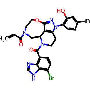 C=CC(=O)N1CCOc2nn(-c3ccc(C(C)C)cc3O)c3c2C(C1)N(C(=O)c1ccc(Br)c2[nH]cnc12)CC3